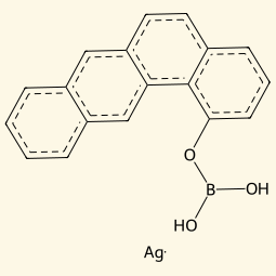 OB(O)Oc1cccc2ccc3cc4ccccc4cc3c12.[Ag]